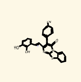 N#Cc1ccc(-c2c(/C=C/c3cccc(O)c3O)nc3sc4ccccc4n3c2=O)cc1